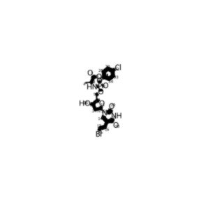 COC(=O)[C@H](C)NP(=O)(OC[C@H]1O[C@@H](n2cc(/C=C/Br)c(=O)[nH]c2=O)CC1O)Oc1ccc(Cl)cc1